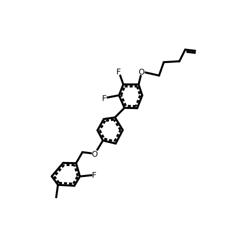 C=CCCCOc1ccc(-c2ccc(OCc3ccc(C)cc3F)cc2)c(F)c1F